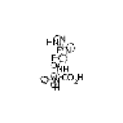 O=C(NC[C@H](NS(=O)(=O)c1ccccc1)C(=O)O)c1ccc(N2CCCCC2NC2=NCCCN2)c(F)c1F